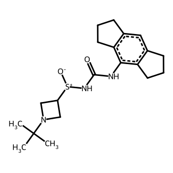 CC(C)(C)N1CC([S+]([O-])NC(=O)Nc2c3c(cc4c2CCC4)CCC3)C1